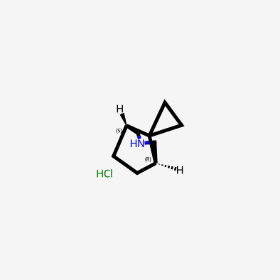 C1C[C@H]2CNC[C@@H]1C21CC1.Cl